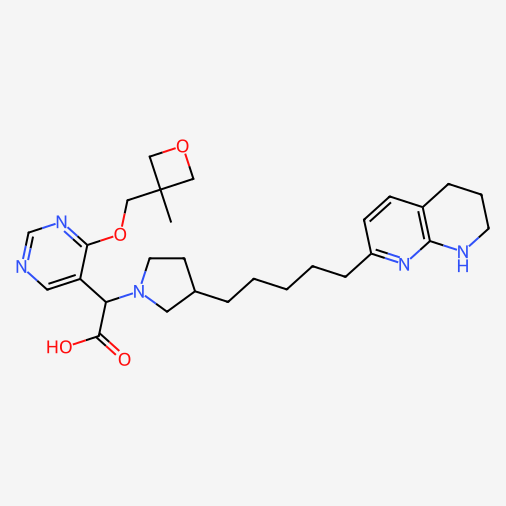 CC1(COc2ncncc2C(C(=O)O)N2CCC(CCCCCc3ccc4c(n3)NCCC4)C2)COC1